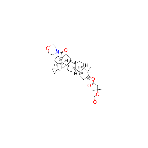 CC(C)(CC(=O)O[C@H]1CC[C@]2(C)[C@H]3CC[C@@H]4[C@H]5[C@H](C6(C)CC6)CC[C@]5(C(=O)N5CCOCC5)CC[C@@]4(C)[C@]3(C)CC[C@H]2C1(C)C)OC=O